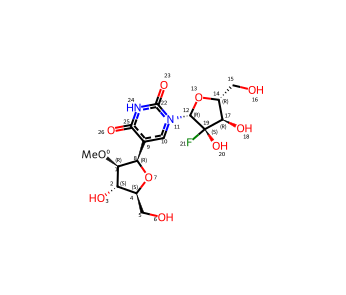 CO[C@@H]1[C@@H](O)[C@H](CO)O[C@@H]1c1cn([C@@H]2O[C@H](CO)[C@@H](O)[C@]2(O)F)c(=O)[nH]c1=O